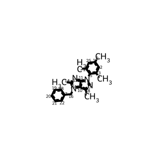 Cc1cc(C)c(-n2nc(C)c3c2nc(C)n3Cc2ccccc2)c(C)c1